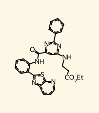 CCOC(=O)CCNc1cc(C(=O)Nc2ccccc2-c2nc3cccnc3s2)nc(-c2ccccc2)n1